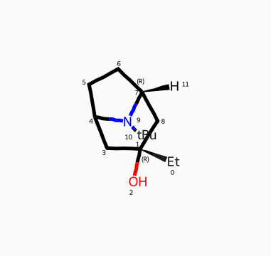 CC[C@@]1(O)CC2CC[C@H](C1)N2C(C)(C)C